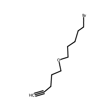 C#CCCCOCCCCCBr